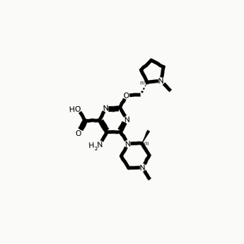 C[C@H]1CN(C)CCN1c1nc(OC[C@@H]2CCCN2C)nc(C(=O)O)c1N